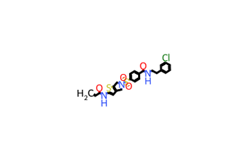 C=CC(=O)Nc1cc2c(s1)CN(S(=O)(=O)c1ccc(C(=O)NCCc3cccc(Cl)c3)cc1)C2